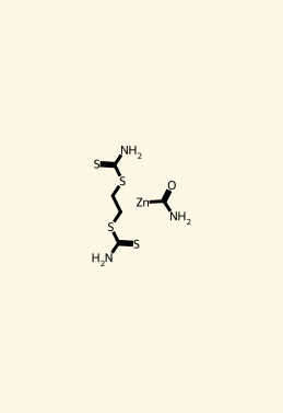 NC(=S)SCCSC(N)=S.N[C](=O)[Zn]